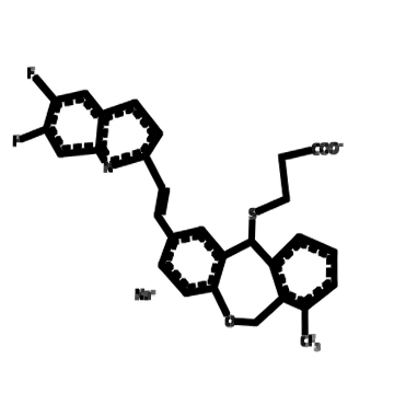 O=C([O-])CCSC1c2cc(C=Cc3ccc4cc(F)c(F)cc4n3)ccc2OCc2c1cccc2C(F)(F)F.[Na+]